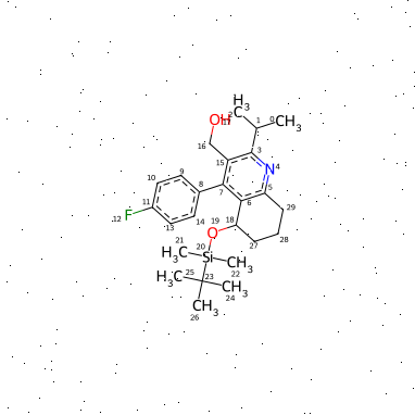 CC(C)c1nc2c(c(-c3ccc(F)cc3)c1CO)C(O[Si](C)(C)C(C)(C)C)CCC2